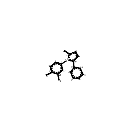 Cc1ccc(-n2c(C)ccc2-c2ccccc2)cc1C